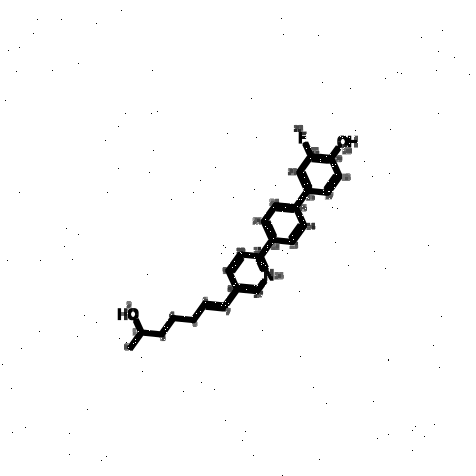 CC(O)CCC/C=C/c1ccc(-c2ccc(-c3ccc(O)c(F)c3)cc2)nc1